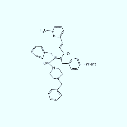 CCCCCc1ccc(CN(C(=O)C=Cc2cccc(C(F)(F)F)c2)[C@@H](Cc2ccccc2)C(=O)N2CCN(Cc3ccccc3)CC2)cc1